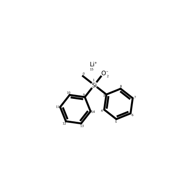 C[Si]([O-])(c1ccccc1)c1ccccc1.[Li+]